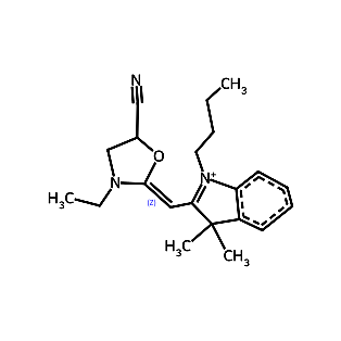 CCCC[N+]1=C(/C=C2\OC(C#N)CN2CC)C(C)(C)c2ccccc21